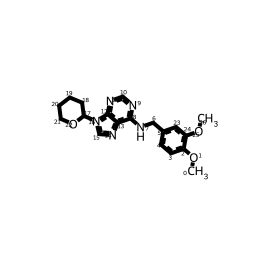 COc1ccc(CNc2ncnc3c2ncn3C2CCCCO2)cc1OC